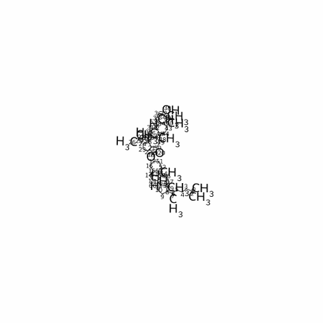 CC(C)CCC[C@@H](C)[C@H]1CC[C@H]2[C@@H]3CC=C4C[C@H](OC(=O)[C@]56CC[C@@H](C(C)C)C5[C@H]5CC[C@@H]7[C@@]8(C)CC[C@H](O)C(C)(C)C8CC[C@@]7(C)[C@]5(C)CC6)CC[C@]4(C)[C@H]3CC[C@]12C